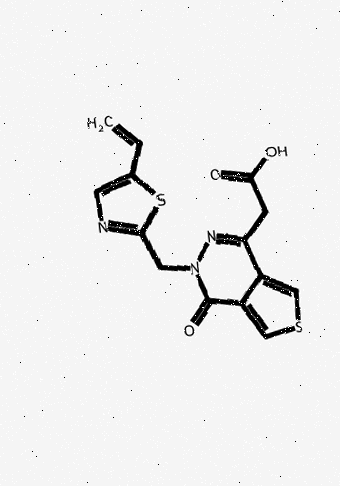 C=Cc1cnc(Cn2nc(CC(=O)O)c3cscc3c2=O)s1